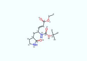 CCOC(=O)/C=C/C(CC1CCNC1=O)NC(=O)OC(C)(C)C